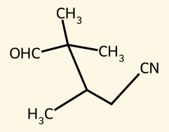 CC(CC#N)C(C)(C)C=O